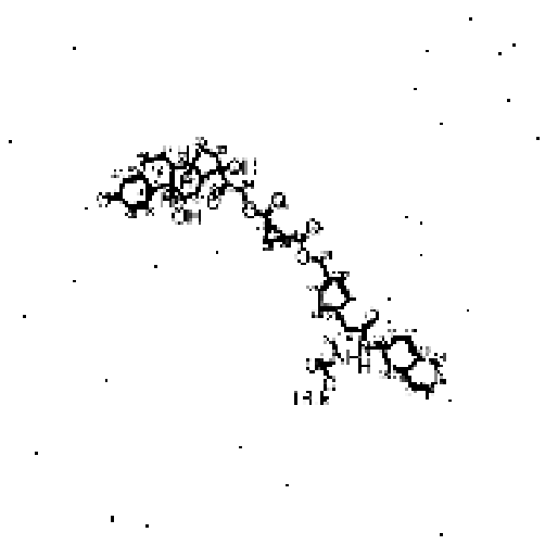 CC(C)(C)OC(=O)NC[C@@H](C(=O)Nc1ccc2cnccc2c1)c1ccc(COC(=O)C2CC2C(=O)OCC(=O)[C@@]2(O)CC[C@H]3[C@@H]4CCC5=CC(=O)C=C[C@]5(C)[C@H]4[C@@H](O)C[C@@]32C)cc1